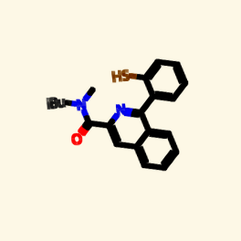 CCC(C)N(C)C(=O)c1cc2ccccc2c(-c2ccccc2S)n1